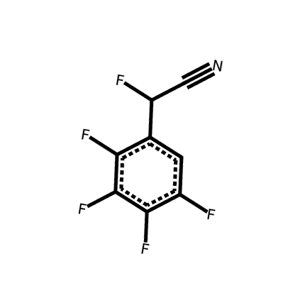 N#CC(F)c1cc(F)c(F)c(F)c1F